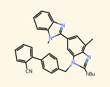 CCCCc1nc2c(C)cc(-c3nc4ccccc4n3C)cc2n1Cc1ccc(-c2ccccc2C#N)cc1